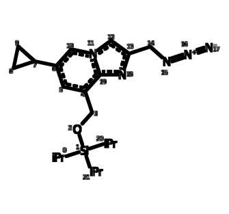 CC(C)[Si](OCc1cc(C2CC2)cn2cc(CN=[N+]=[N-])nc12)(C(C)C)C(C)C